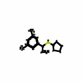 O=C(O)C(SC1CCCC1)c1cc(C(F)(F)F)cc(C(F)(F)F)c1